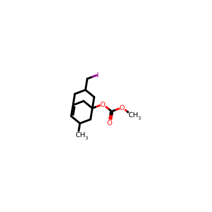 COC(=O)OC12CC(=CC(C)C1)CC(CI)C2